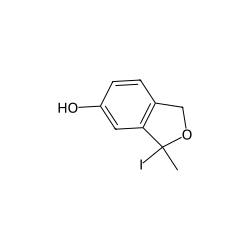 CC1(I)OCc2ccc(O)cc21